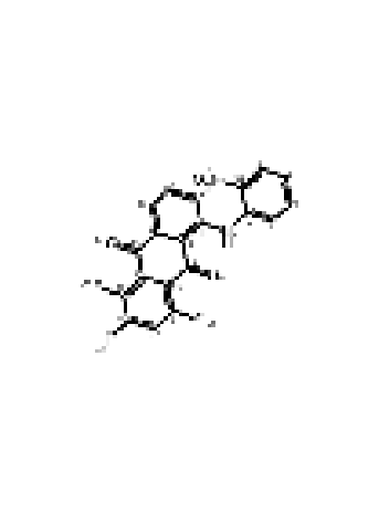 O=C1c2c(Nc3ccccc3[N+](=O)[O-])cccc2C(=O)c2c(F)c(F)cc(F)c21